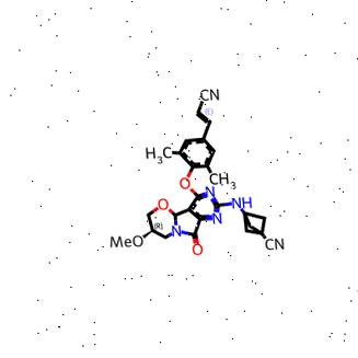 CO[C@H]1COC2c3c(Oc4c(C)cc(/C=C/C#N)cc4C)nc(NC45CC(C#N)(C4)C5)nc3C(=O)N2C1